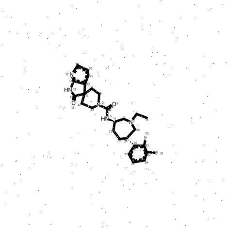 CCN1C[C@H](NC(=O)N2CCC3(CC2)C(=O)Nc2ncccc23)CC[C@@H](c2cccc(F)c2F)C1